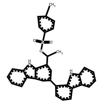 Cc1ccc(S(=O)(=O)OC(C)c2cc(-c3cccc4c3[nH]c3ccccc34)cc3c2[nH]c2ccccc23)cc1